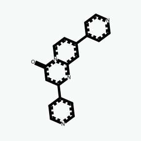 O=c1cc(-c2ccncc2)nc2cc(-c3ccncc3)ccn12